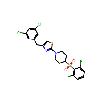 O=S(=O)(c1c(F)cccc1F)C1CCN(c2nc(Cc3cc(Cl)cc(Cl)c3)cs2)CC1